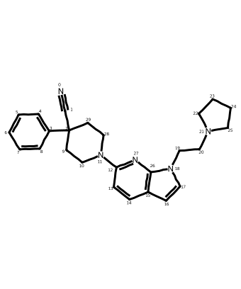 N#CC1(c2ccccc2)CCN(c2ccc3ccn(CCN4CCCC4)c3n2)CC1